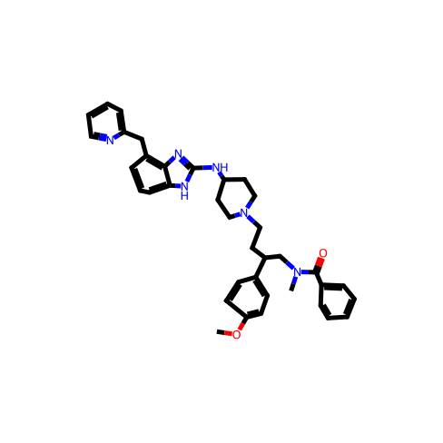 COc1ccc(C(CCN2CCC(Nc3nc4c(Cc5ccccn5)cccc4[nH]3)CC2)CN(C)C(=O)c2ccccc2)cc1